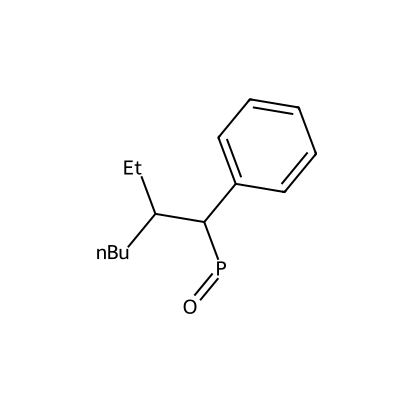 CCCCC(CC)C(P=O)c1ccccc1